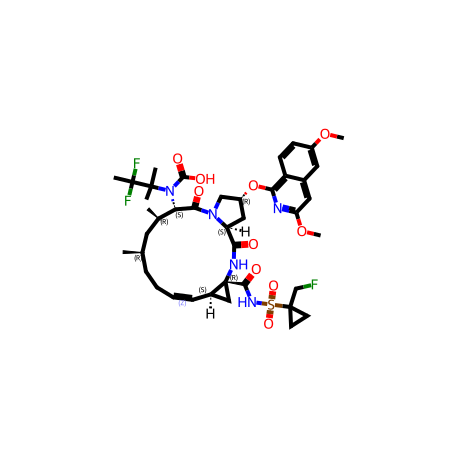 COc1ccc2c(O[C@@H]3C[C@H]4C(=O)N[C@]5(C(=O)NS(=O)(=O)C6(CF)CC6)C[C@H]5/C=C\CC[C@@H](C)C[C@@H](C)[C@H](N(C(=O)O)C(C)(C)C(C)(F)F)C(=O)N4C3)nc(OC)cc2c1